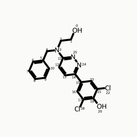 OCCN(Cc1ccccc1)c1ccc(-c2cc(Cl)c(O)c(Cl)c2)nn1